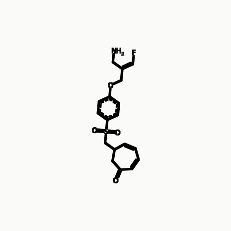 NC/C(=C\F)COc1ccc(S(=O)(=O)CC2C=CC=CC(=O)C2)cc1